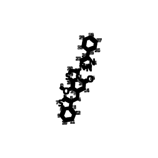 COc1c(Cc2csc3ccccc23)cc(=O)n2c1SC[C@H]2n1cc(-c2ccccc2)nn1